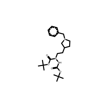 CC(C)(C)OC(=O)NN(CCC1CCN(Cc2ccccc2)C1)C(=O)OC(C)(C)C